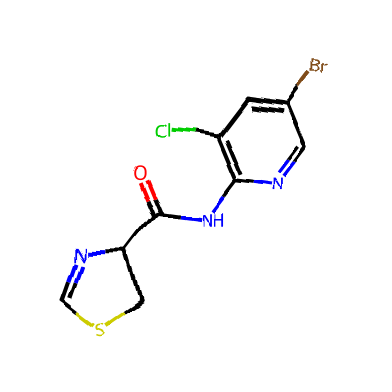 O=C(Nc1ncc(Br)cc1Cl)C1CSC=N1